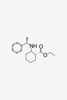 CCOC(=O)[C@@H]1CCCCC1N[C@H](C)c1ccccc1